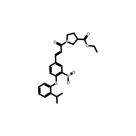 CCOC(=O)C1CCN(C(=O)C=Cc2ccc(Sc3ccccc3C(C)C)c([N+](=O)[O-])c2)C1